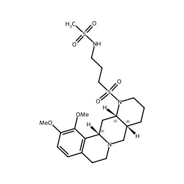 COc1ccc2c(c1OC)[C@@H]1C[C@H]3[C@H](CCCN3S(=O)(=O)CCCNS(C)(=O)=O)CN1CC2